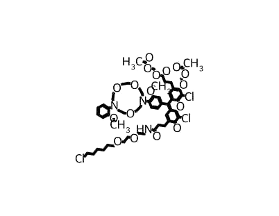 COc1ccccc1N1CCOCCOCCN(c2ccc(-c3c4cc(CCC(=O)NCCOCCOCCCCCCCl)c(=O)c(Cl)c-4oc4c(Cl)c(OCOC(C)=O)c(CCC(=O)OCOC(C)=O)cc34)cc2OC)CCOCC1